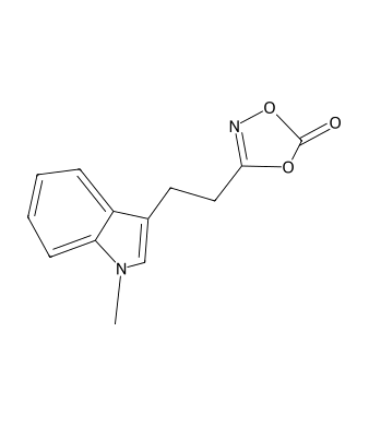 Cn1cc(CCc2noc(=O)o2)c2ccccc21